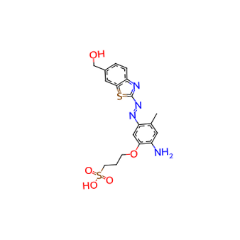 Cc1cc(N)c(OCCCS(=O)(=O)O)cc1N=Nc1nc2ccc(CO)cc2s1